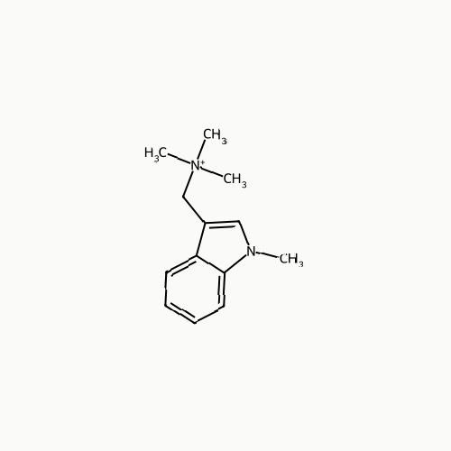 Cn1cc(C[N+](C)(C)C)c2ccccc21